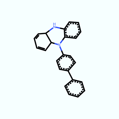 C1=CC2Nc3ccccc3N(c3ccc(-c4ccccc4)cc3)C2C=C1